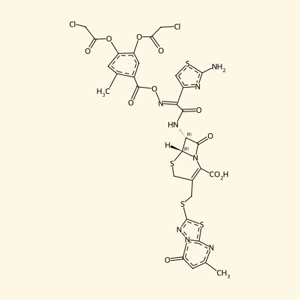 Cc1cc(=O)n2nc(SCC3=C(C(=O)O)N4C(=O)[C@@H](NC(=O)C(=NOC(=O)c5cc(OC(=O)CCl)c(OC(=O)CCl)cc5C)c5csc(N)n5)[C@H]4SC3)sc2n1